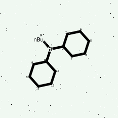 CCCCB(C1CCCCC1)C1CCCCC1